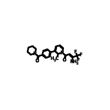 CC1C(c2ccc(C(=O)N3CCCCC3)cc2)=CC=CN1C(=O)/C=C(\N)C(F)(F)F